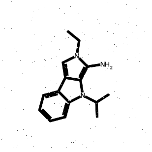 CCn1cc2c3ccccc3n(C(C)C)c2c1N